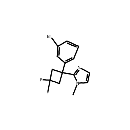 Cn1ccnc1C1(c2cccc(Br)c2)CC(F)(F)C1